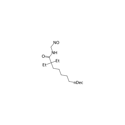 CCCCCCCCCCCCCCCC(CC)(CC)C(=O)NCN=O